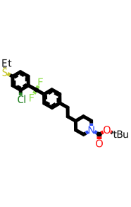 CCSc1ccc(C(F)(F)c2ccc(CCC3CCN(C(=O)OC(C)(C)C)CC3)cc2)c(Cl)c1